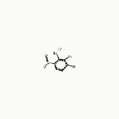 CCc1ccc(S(=O)[O-])c(CC)c1CC.[Li+]